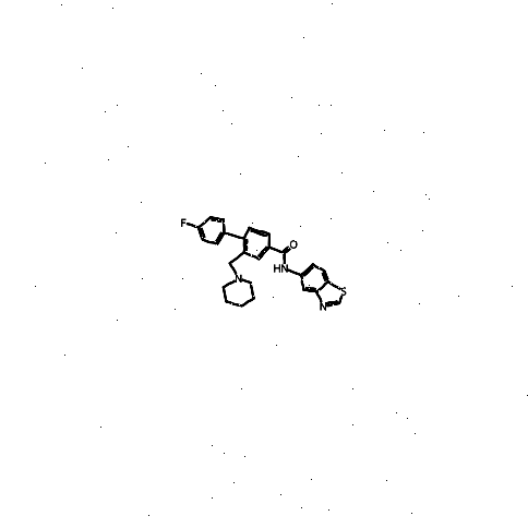 O=C(Nc1ccc2scnc2c1)c1ccc(-c2ccc(F)cc2)c(CN2CCCCC2)c1